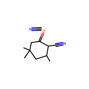 C#N.CC1CC(C)(C)CC(=O)C1C#N